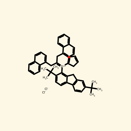 CC(C)(C)c1ccc2c(c1)Cc1c-2ccc(C(C)(C)C)[c]1[Zr+2]([C]1=CC=CC1)=[C](Cc1cccc2ccccc12)Cc1cccc2ccccc12.[Cl-].[Cl-]